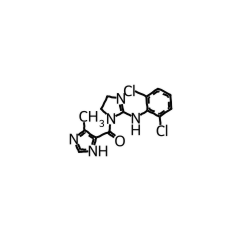 Cc1nc[nH]c1C(=O)N1CCN=C1Nc1c(Cl)cccc1Cl